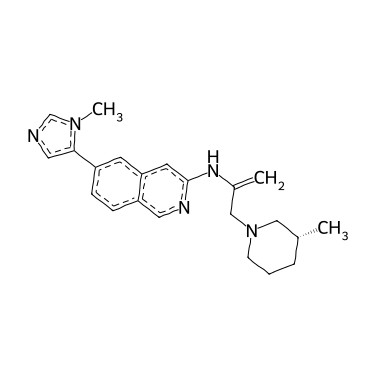 C=C(CN1CCC[C@@H](C)C1)Nc1cc2cc(-c3cncn3C)ccc2cn1